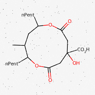 CCCCCC1CC(C)C(CCCCC)OC(=O)CC(O)(C(=O)O)CC(=O)O1